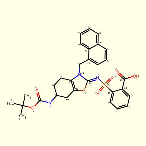 CC(C)(C)OC(=O)NC1CCc2c(sc(=NS(=O)(=O)c3ccccc3C(=O)O)n2Cc2cccc3ccccc23)C1